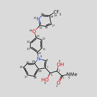 CNC(=O)C(O)C(O)c1cn(-c2ccc(Oc3ccc(C(F)(F)F)cn3)cc2)c2ccccc12